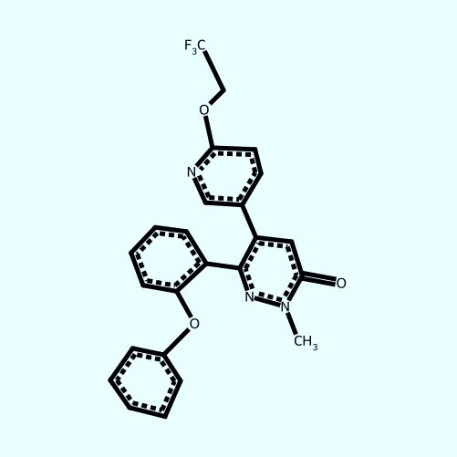 Cn1nc(-c2ccccc2Oc2ccccc2)c(-c2ccc(OCC(F)(F)F)nc2)cc1=O